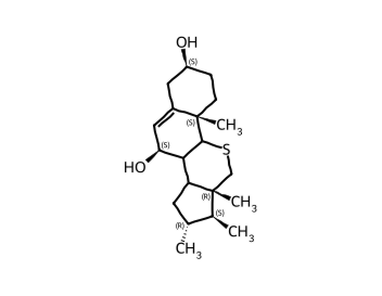 C[C@@H]1CC2C3C(SC[C@]2(C)[C@H]1C)[C@@]1(C)CC[C@H](O)CC1=C[C@@H]3O